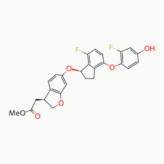 COC(=O)C[C@@H]1COc2cc(O[C@@H]3CCc4c(Oc5ccc(O)cc5F)ccc(F)c43)ccc21